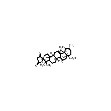 C[C@H]1[C@H](C)CC[C@]2(C(=O)O)CC[C@]3(C)C(=CC[C@@H]4[C@@]5(C)CC[C@]6(OC(=O)CC6=O)C(C)(C)C5CC[C@]43C)[C@H]12